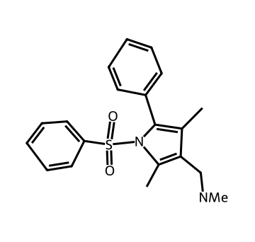 CNCc1c(C)c(-c2ccccc2)n(S(=O)(=O)c2ccccc2)c1C